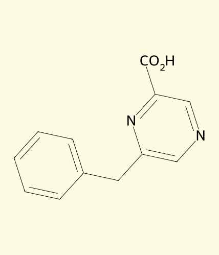 O=C(O)c1cncc(Cc2ccccc2)n1